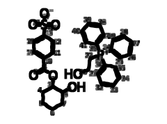 O=C(OC1CCCCC1O)c1ccc(S(=O)(=O)[O-])cc1.OCC[P+](c1ccccc1)(c1ccccc1)c1ccccc1